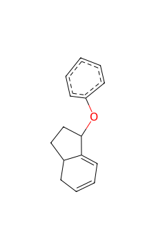 C1=CCC2CCC(Oc3ccccc3)C2=C1